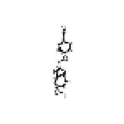 N#Cc1ccc(OCc2nc3cc(N)ccc3s2)cc1